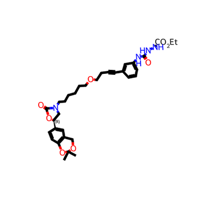 CCOC(=O)NNC(=O)Nc1cccc(C#CCCOCCCCCCN2C[C@@H](c3ccc4c(c3)COC(C)(C)O4)OC2=O)c1